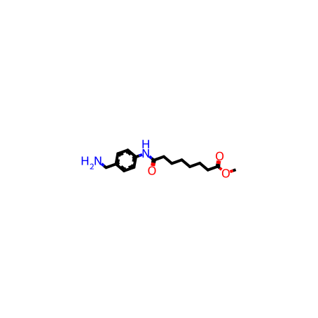 COC(=O)CCCCCCC(=O)Nc1ccc(CN)cc1